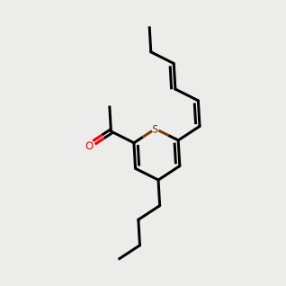 CCC=C/C=C\C1=CC(CCCC)C=C(C(C)=O)S1